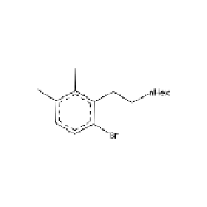 CCCCCCCCc1c(Br)ccc(C)c1C